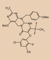 COc1ccc(CN2c3nc(C)nc(OC)c3CN3C(=O)C(Oc4cc(Cl)cc(C#N)c4F)=C(C(C)(F)F)NC32)cc1